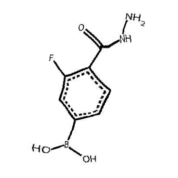 NNC(=O)c1ccc(B(O)O)cc1F